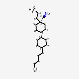 CCCCCC1CCC([C@H]2CC[C@](C#N)(CCC)CC2)CC1